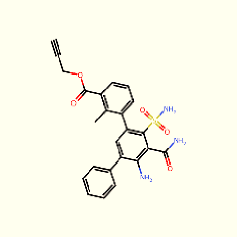 C#CCOC(=O)c1cccc(-c2cc(-c3ccccc3)c(N)c(C(N)=O)c2S(N)(=O)=O)c1C